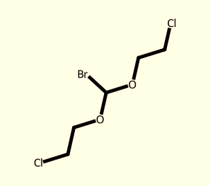 ClCCOC(Br)OCCCl